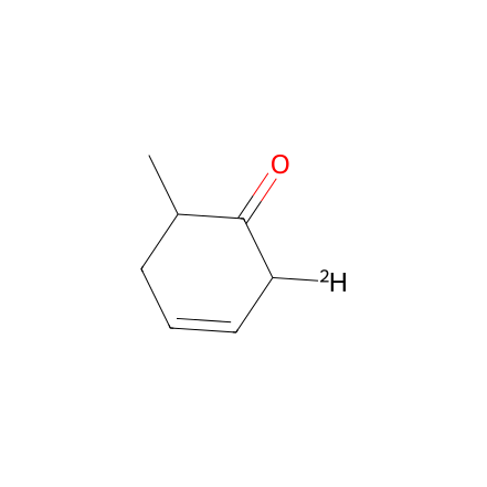 [2H]C1C=CCC(C)C1=O